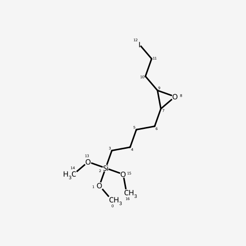 CO[Si](CCCCC1OC1CCI)(OC)OC